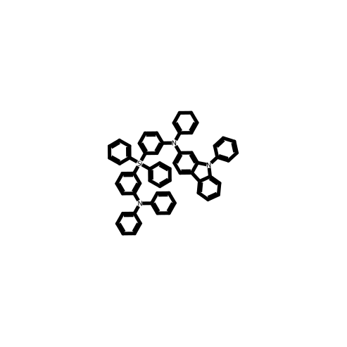 C1=CC(N(c2cccc([Si](c3ccccc3)(c3ccccc3)c3cccc(N(c4ccccc4)c4ccccc4)c3)c2)c2ccc3c4ccccc4n(-c4ccccc4)c3c2)=CCC1